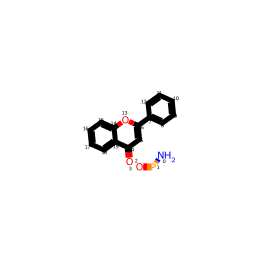 NP=O.O=c1cc(-c2ccccc2)oc2ccccc12